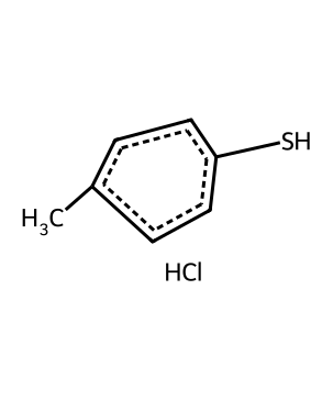 Cc1ccc(S)cc1.Cl